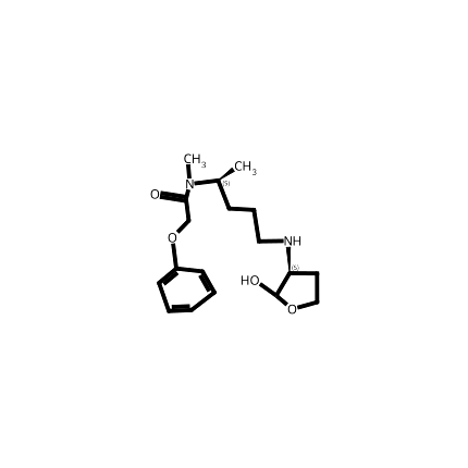 C[C@@H](CCCN[C@H]1CCOC1O)N(C)C(=O)COc1ccccc1